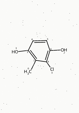 Cc1c(O)ccc(O)c1Cl